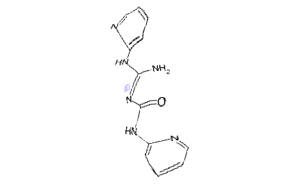 N/C(=N\C(=O)Nc1ccccn1)Nc1ccccn1